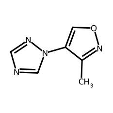 Cc1nocc1-n1cncn1